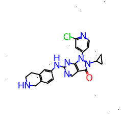 O=c1c2cnc(Nc3ccc4c(c3)CCNC4)nc2n(-c2ccnc(Cl)c2)n1C1CC1